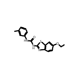 CCOc1ccc2nc(NC(=O)Nc3cccc(C)c3)sc2c1